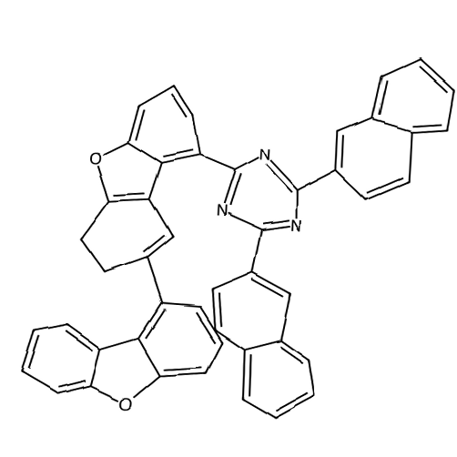 C1=C(c2cccc3oc4ccccc4c23)CCc2oc3cccc(-c4nc(-c5ccc6ccccc6c5)nc(-c5ccc6ccccc6c5)n4)c3c21